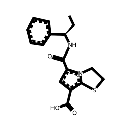 CC[C@@H](NC(=O)c1cc(C(=O)O)c2n1CCS2)c1ccccc1